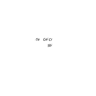 [Cr].[Ge].[Sb].[Te]